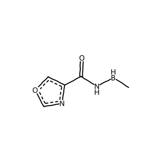 CBNC(=O)c1cocn1